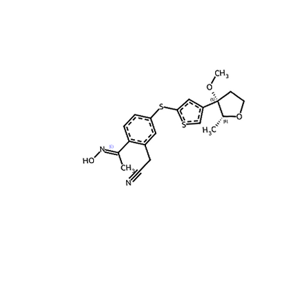 CO[C@]1(c2csc(Sc3ccc(/C(C)=N/O)c(CC#N)c3)c2)CCO[C@@H]1C